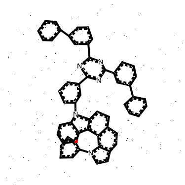 c1ccc(-c2cccc(-c3nc(-c4cccc(-c5ccccc5)c4)nc(-c4cccc(-n5c6ccccc6c6c7c(ccc8ccn(-c9ccccc9)c87)ccc65)c4)n3)c2)cc1